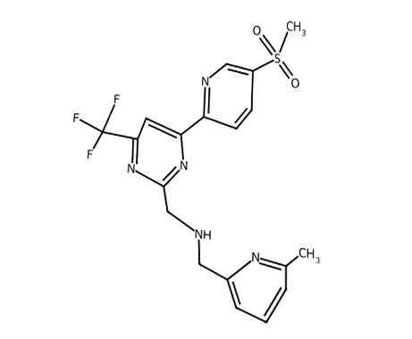 Cc1cccc(CNCc2nc(-c3ccc(S(C)(=O)=O)cn3)cc(C(F)(F)F)n2)n1